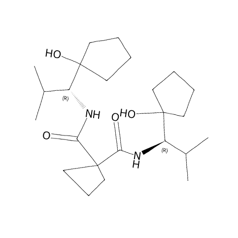 CC(C)[C@@H](NC(=O)C1(C(=O)N[C@H](C(C)C)C2(O)CCCC2)CCC1)C1(O)CCCC1